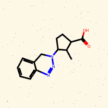 CC1C(C(=O)O)CCC1N1Cc2ccccc2N=N1